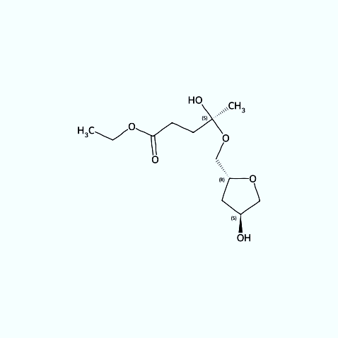 CCOC(=O)CC[C@@](C)(O)OC[C@H]1C[C@H](O)CO1